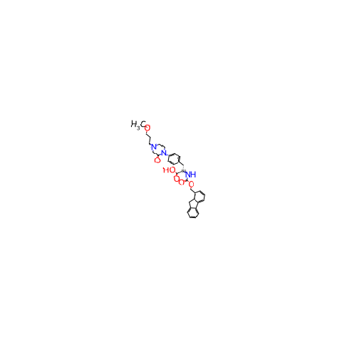 COCCCN1CCN(c2ccc(C[C@H](NC(=O)OCc3cccc4c3Cc3ccccc3-4)C(=O)O)cc2)C(=O)C1